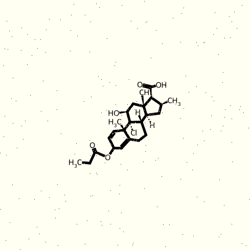 CCC(=O)OC1C=C[C@@]2(C)C(=C1)CC[C@H]1[C@@H]3C[C@H](C)[C@H](C(=O)O)[C@@]3(C)C[C@H](O)[C@@]12Cl